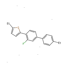 CCc1ccc(-c2ccc(-c3ccc(CC)s3)c(F)c2)cc1